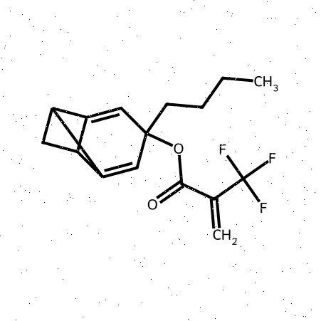 C=C(C(=O)OC1(CCCC)C=C2C3CC2C3=C1)C(F)(F)F